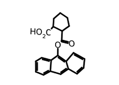 O=C(O)C1CCCCC1C(=O)Oc1c2ccccc2cc2ccccc12